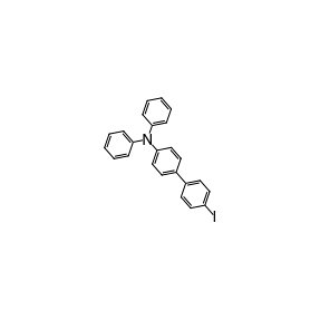 Ic1ccc(-c2ccc(N(c3ccccc3)c3ccccc3)cc2)cc1